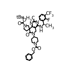 Cc1nc(N[C@H](C)c2cccc(C(F)(F)F)c2F)c2c(n1)C1(CCN(C(=O)OC(C)(C)C)C1)C(=O)N(C1CCN(C(=O)OCc3ccccc3)CC1)C2